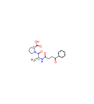 C[C@H](NC(=O)CCC(=O)c1ccccc1)C(=O)N1CCC[C@H]1C(=O)O